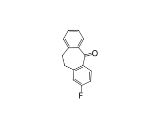 O=C1c2ccccc2CCc2cc(F)ccc21